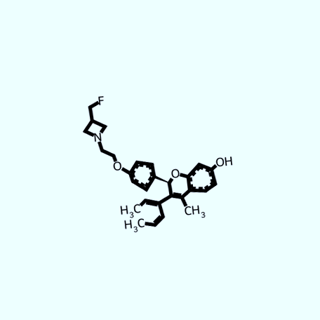 C/C=C\C(=C/C)C1=C(C)c2ccc(O)cc2O[C@@H]1c1ccc(OCCN2CC(CF)C2)cc1